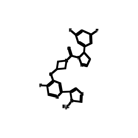 Cn1cncc1-c1cc(OC2CN(C(=O)N3N=CCC3c3cc(F)cc(F)c3)C2)c(F)cn1